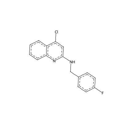 Fc1ccc(CNc2cc(Cl)c3ccccc3n2)cc1